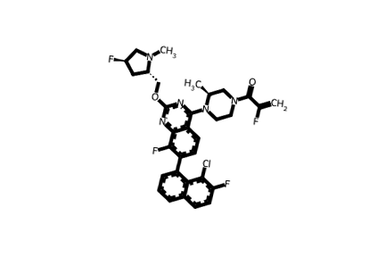 C=C(F)C(=O)N1CCN(c2nc(OC[C@@H]3C[C@@H](F)CN3C)nc3c(F)c(-c4cccc5ccc(F)c(Cl)c45)ccc23)[C@@H](C)C1